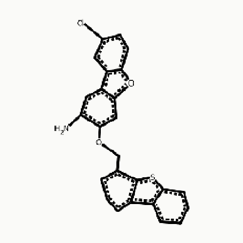 Nc1cc2c(cc1OCc1cccc3c1sc1ccccc13)oc1ccc(Cl)cc12